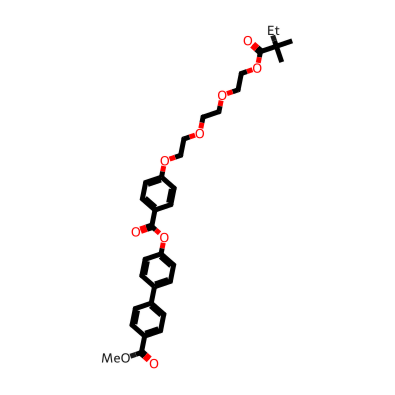 CCC(C)(C)C(=O)OCCOCCOCCOc1ccc(C(=O)Oc2ccc(-c3ccc(C(=O)OC)cc3)cc2)cc1